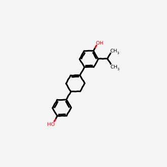 CC(C)c1cc(C2=CCC(c3ccc(O)cc3)CC2)ccc1O